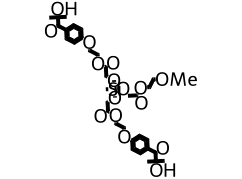 COCCOC(=O)CO[Si](C)(OCC(=O)OCCOc1ccc(C(=O)C(C)(C)O)cc1)OCC(=O)OCCOc1ccc(C(=O)C(C)(C)O)cc1